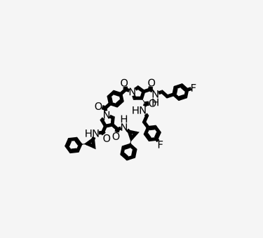 O=C(NC1C[C@@H]1c1ccccc1)C1CN(C(=O)c2ccc(C(=O)N3CC(C(=O)NCCc4ccc(F)cc4)[C@H](C(=O)NCCc4ccc(F)cc4)C3)cc2)CC1C(=O)NC1C[C@@H]1c1ccccc1